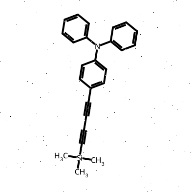 C[Si](C)(C)C#CC#Cc1ccc(N(c2ccccc2)c2ccccc2)cc1